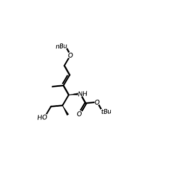 CCCCOC/C=C(\C)[C@@H](NC(=O)OC(C)(C)C)[C@@H](C)CO